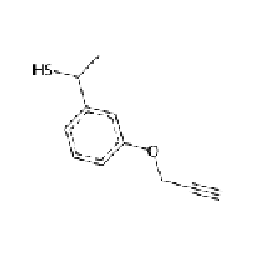 C#CCOc1cccc(C(C)S)c1